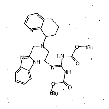 CC(C)(C)OC(=O)NC(=NCCN(Cc1nc2ccccc2[nH]1)C1CCCc2cccnc21)NC(=O)OC(C)(C)C